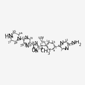 C[C@@](c1ccc(-c2cnc(N)cn2)cc1)(c1noc(-c2cnc(N3CCNCC3)cn2)n1)C1CC1